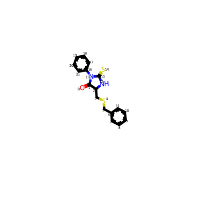 O=C1C(CSCc2ccccc2)NC(=S)N1c1ccccc1